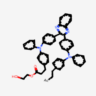 CC(=O)CCc1ccc(N(c2ccccc2)c2ccc(-c3nc4ccccc4nc3-c3ccc(N(c4ccccc4)c4ccc(CCC(=O)OCCO)cc4)cc3)cc2)cc1